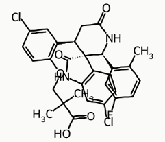 Cc1ccc(F)cc1[C@@H]1NC(=O)C[C@H](c2cc(Cl)ccc2OCC(C)(C)C(=O)O)[C@@]12C(=O)Nc1cc(Cl)ccc12